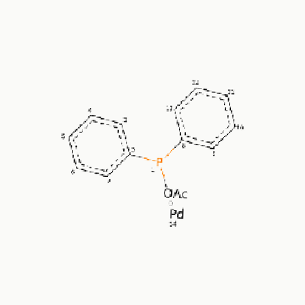 CC(=O)OP(c1ccccc1)c1ccccc1.[Pd]